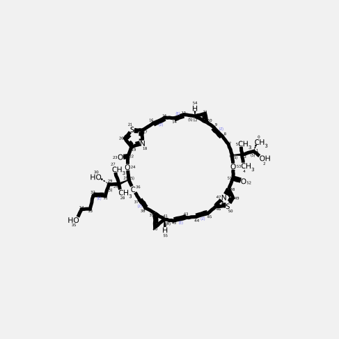 C[C@H](O)C(C)(C)[C@@H]1C/C=C\C2=C[C@@H]2/C=C/C=C\c2nc(cs2)C(=O)O[C@H](C(C)(C)[C@@H](O)/C=C/CCO)C/C=C\C2=C[C@H]2/C=C/C=C\c2nc(cs2)C(=O)O1